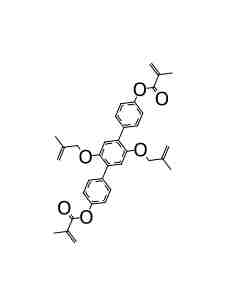 C=C(C)COc1cc(-c2ccc(OC(=O)C(=C)C)cc2)c(OCC(=C)C)cc1-c1ccc(OC(=O)C(=C)C)cc1